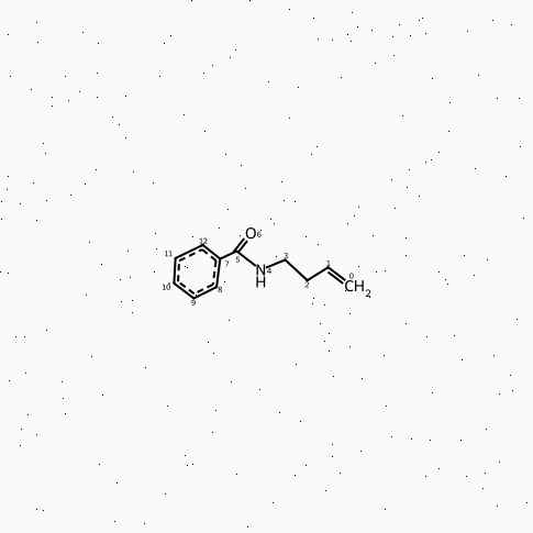 C=CCCNC(=O)c1cc[c]cc1